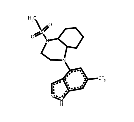 CS(=O)(=O)N1CCN(c2cc(C(F)(F)F)cc3[nH]ncc23)C2CCCCC21